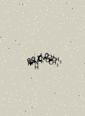 CC(C)(C)OC(=O)N1CC[C@@H](NC(=O)/C=N\O)C1